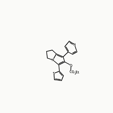 CCOC(=O)Oc1c(-c2ccncc2)c2n(c1-c1cccs1)CCC2